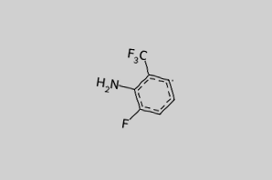 Nc1c(C(F)(F)F)[c]ccc1F